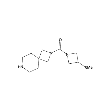 CSC1CN(C(=O)N2CC3(CCNCC3)C2)C1